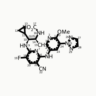 COc1ncc(Nc2nc(N[C@@H](C3CC3)[C@H](C)NC(=O)O)c(F)cc2C#N)cc1-n1nccn1